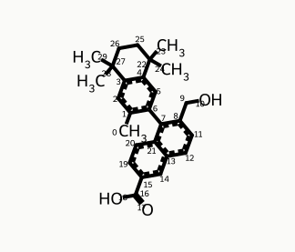 Cc1cc2c(cc1-c1c(CO)ccc3cc(C(=O)O)ccc13)C(C)(C)CCC2(C)C